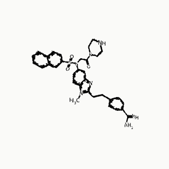 Cn1c(CCc2ccc(C(=N)N)cc2)nc2cc(N(CC(=O)N3CCNCC3)S(=O)(=O)c3ccc4ccccc4c3)ccc21